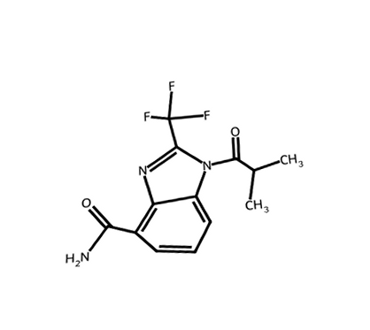 CC(C)C(=O)n1c(C(F)(F)F)nc2c(C(N)=O)cccc21